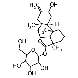 C=C1C[C@@]2(C)CCC3[C@](C)(C(=O)OC4OC(CO)C(O)C(O)C4O)CCC[C@@]3(C)[C@@H]2CC1O